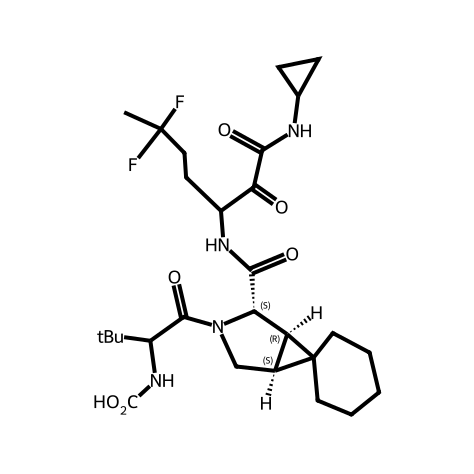 CC(F)(F)CCC(NC(=O)[C@@H]1[C@@H]2[C@H](CN1C(=O)C(NC(=O)O)C(C)(C)C)C21CCCCC1)C(=O)C(=O)NC1CC1